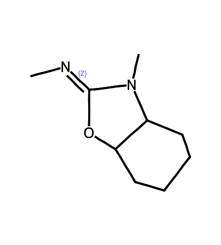 C/N=C1\OC2CCCCC2N1C